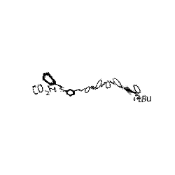 CC(C)(C)OC(=O)CCOCCOCCOCCOCCCc1cccc(SCc2ccccc2C(=O)O)c1